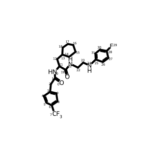 O=C(Cc1ccc(C(F)(F)F)cc1)NC(CC1CCCCC1)C(=O)NCCNc1ccc(F)cc1